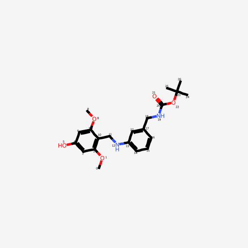 COc1cc(O)cc(OC)c1CNc1cccc(CNC(=O)OC(C)(C)C)c1